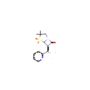 C[S@@+]([O-])/C(=C1\C(=O)N2[C@@H](C(=O)O)C(C)(C)S(=O)(=O)[C@H]12)c1ccccn1